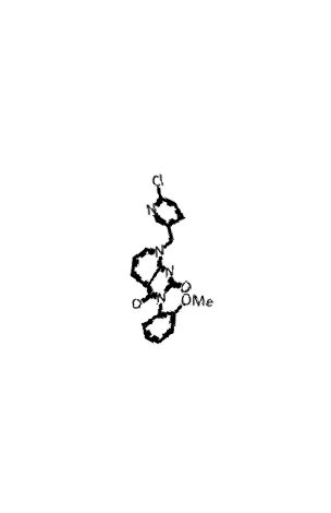 COc1ccccc1-n1c(=O)nc2n(Cc3ccc(Cl)nc3)cccc-2c1=O